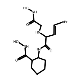 CCC/C=C/C(NCC(=O)NO)C(=O)NC1CCCCC1C(=O)NO